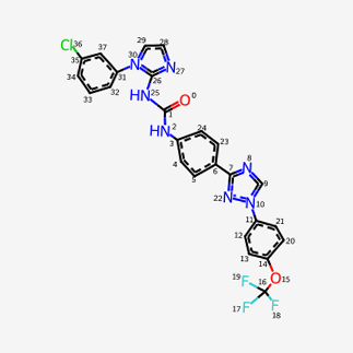 O=C(Nc1ccc(-c2ncn(-c3ccc(OC(F)(F)F)cc3)n2)cc1)Nc1nccn1-c1cccc(Cl)c1